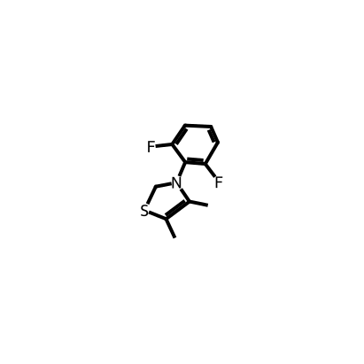 CC1=C(C)N(c2c(F)cccc2F)CS1